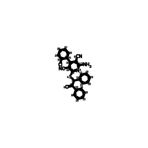 N#Cc1c(N)nc(SC(C(=O)c2ccccc2)c2ccccc2)c(C#N)c1-c1ccccc1Cl